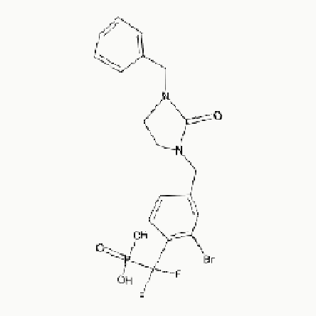 O=C1N(Cc2ccccc2)CCN1Cc1ccc(C(F)(F)P(=O)(O)O)c(Br)c1